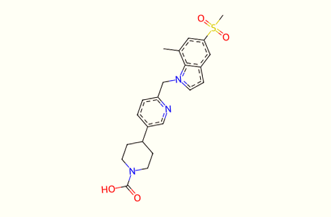 Cc1cc(S(C)(=O)=O)cc2ccn(Cc3ccc(C4CCN(C(=O)O)CC4)cn3)c12